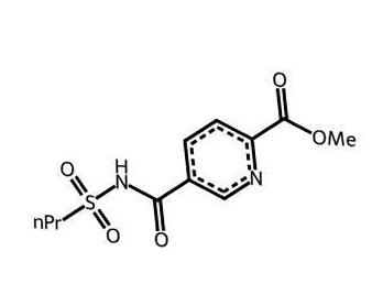 CCCS(=O)(=O)NC(=O)c1ccc(C(=O)OC)nc1